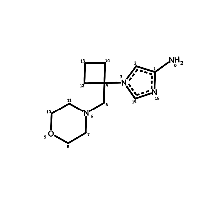 Nc1cn(C2(CN3CCOCC3)CCC2)cn1